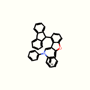 C=C/C=c1/oc2cccc(C3c4ccccc4-c4ccccc43)c2/c1=C/N(c1ccccc1)c1ccccc1